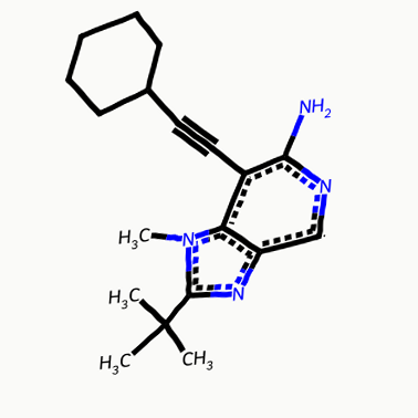 Cn1c(C(C)(C)C)nc2[c]nc(N)c(C#CC3CCCCC3)c21